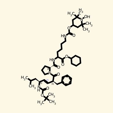 CC(C)C[C@@H](/C=C/[C@H](Cc1ccccc1)C(=O)N1CCC[C@@H]1C(=O)NC(CCCCNC(=O)OC1CC(C)(C)N(O)C(C)(C)C1)C(=O)OC1CCCCC1)NC(=O)OC(C)(C)C